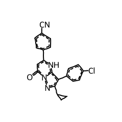 N#Cc1ccc(-c2cc(=O)n3nc(C4CC4)c(-c4ccc(Cl)cc4)c3[nH]2)cc1